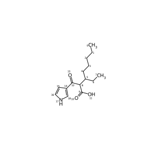 CCCCCC(CC)C(C(=O)O)C(=O)c1cc[nH]c1